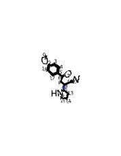 COc1ccc(C(=O)C/C(C#N)=C2/CCCN2)cc1